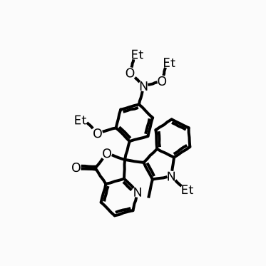 CCOc1cc(N(OCC)OCC)ccc1C1(c2c(C)n(CC)c3ccccc23)OC(=O)c2cccnc21